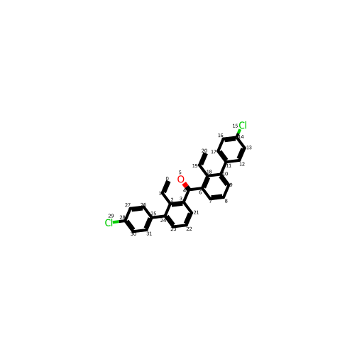 C=Cc1c(C(=O)c2cccc(-c3ccc(Cl)cc3)c2C=C)cccc1-c1ccc(Cl)cc1